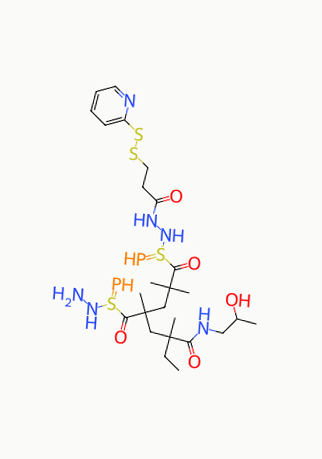 CCC(C)(CC(C)(CC(C)(C)C(=O)S(=P)NNC(=O)CCSSc1ccccn1)C(=O)S(=P)NN)C(=O)NCC(C)O